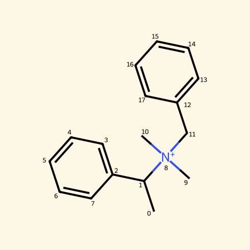 CC(c1ccccc1)[N+](C)(C)Cc1ccccc1